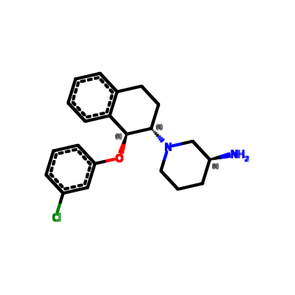 N[C@H]1CCCN([C@H]2CCc3ccccc3[C@@H]2Oc2cccc(Cl)c2)C1